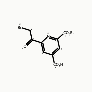 CCOC(=O)c1cc(C(=O)O)cc(C(=O)CBr)n1